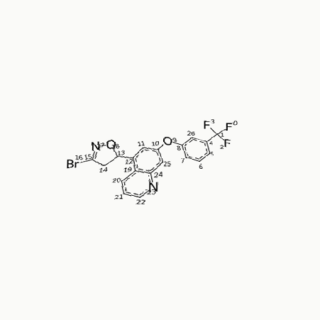 FC(F)(F)c1cccc(Oc2cc(C3CC(Br)=NO3)c3cccnc3c2)c1